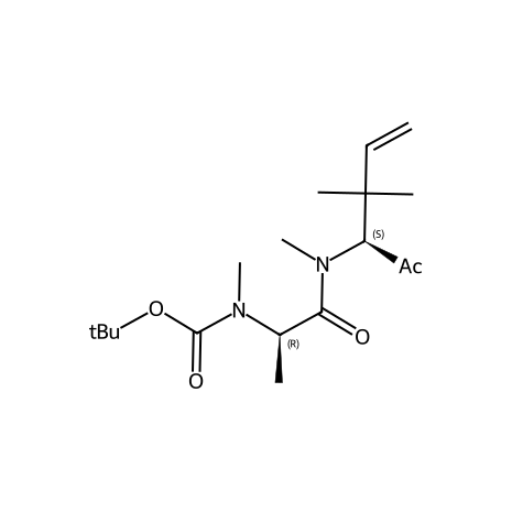 C=CC(C)(C)[C@@H](C(C)=O)N(C)C(=O)[C@@H](C)N(C)C(=O)OC(C)(C)C